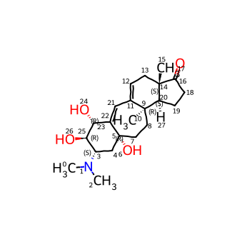 CN(C)[C@H]1C[C@]2(O)CC[C@@]3(C)C(=CC[C@]4(C)C(=O)CC[C@@H]34)C=C2[C@@H](O)[C@@H]1O